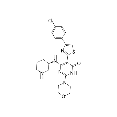 O=c1[nH]c(N2CCOCC2)nc(N[C@@H]2CCCNC2)c1-c1nc(-c2ccc(Cl)cc2)cs1